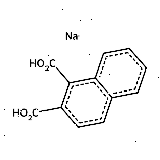 O=C(O)c1ccc2ccccc2c1C(=O)O.[Na]